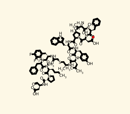 CCCC[C@@H](C(=O)N1CCC[C@@H]1C(=O)N[C@H](C=O)CC(=O)O)N(C)C(=O)C(Cc1ccccc1)N(C)C(=O)[C@H](Cc1ccc(F)c(F)c1)NC(=O)CSC[C@@H](C)NC(=O)[C@H](CC(C)C)NC(=O)[C@H](Cc1ccc(O)cc1)NC(=O)[C@H](Cc1c[nH]c2ccccc12)NC(=O)C1C[C@@H](O)CN1C(=O)[C@H](CC(=O)O)NC(=O)[C@H](Cc1ccccc1)N(C)C(=O)[C@@H](N)C(C)C